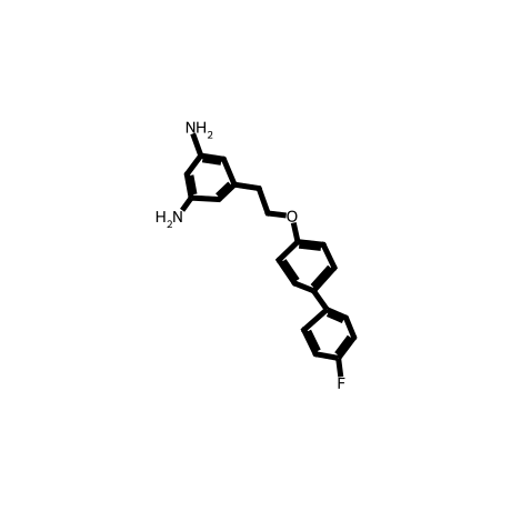 Nc1cc(N)cc(CCOc2ccc(-c3ccc(F)cc3)cc2)c1